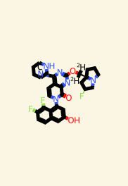 [2H]C([2H])(Oc1nc(N2CC3CCC2CN3)c2ccn(-c3cc(O)cc4ccc(F)c(F)c34)c(=O)c2n1)[C@@]12CCCN1C[C@H](F)C2